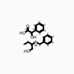 CCC(CO)NCc1ccccc1.O=C(O)C(O)c1ccccc1